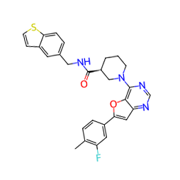 Cc1ccc(-c2cc3ncnc(N4CCC[C@H](C(=O)NCc5ccc6sccc6c5)C4)c3o2)cc1F